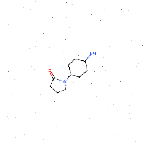 NC1CCC(N2CCCC2=O)CC1